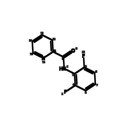 O=C(Nc1c(F)cccc1F)c1ccccn1